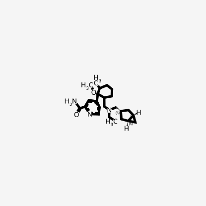 CCN(CC1CCCC(C)C1(OC)c1ccnc(C(N)=O)c1)C[C@H]1C[C@@H]2C[C@@H]2C1